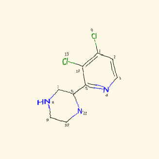 Clc1ccnc(C2CNCC[N]2)c1Cl